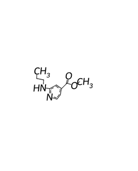 CCCNc1cc(C(=O)OC)ccn1